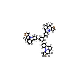 CC1(C)c2sccc2-n2c3ccc(-c4cc(-c5ccc6c(c5)c5cccc7c5n6-c5ccsc5C7(C)C)cc(-c5ccc6c(c5)c5cccc7c5n6-c5ccsc5C7(C)C)c4)cc3c3cccc1c32